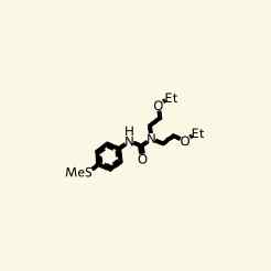 CCOCCN(CCOCC)C(=O)Nc1ccc(SC)cc1